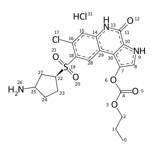 CCCOC(=O)Oc1c[nH]c2c(=O)[nH]c3cc(Cl)c(S(=O)(=O)[C@H]4CCC(N)C4)cc3c12.Cl